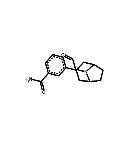 NC(=O)c1cccc(C2CC3CCC(C2)N3CC=O)c1